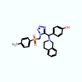 Cc1ccc(S(=O)(=O)Cn2nnnc2C(c2ccc(O)cc2)N2CCc3ccccc3C2)cc1